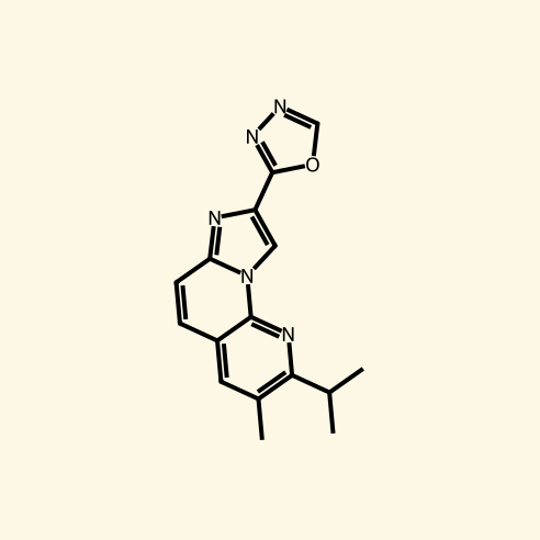 Cc1cc2ccc3nc(-c4nnco4)cn3c2nc1C(C)C